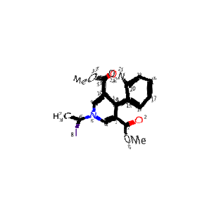 COC(=O)C1=CN(C(C)I)C=C(C(=O)OC)C1c1ccccc1[N+](=O)[O-]